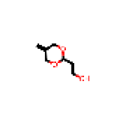 C=C1COC(CCO)OC1